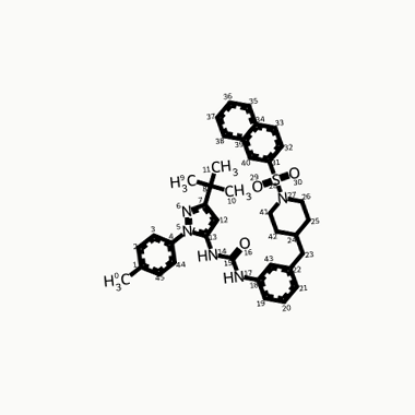 Cc1ccc(-n2nc(C(C)(C)C)cc2NC(=O)Nc2cccc(CC3CCN(S(=O)(=O)c4ccc5ccccc5c4)CC3)c2)cc1